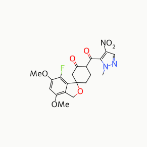 COc1cc(OC)c2c(c1F)C1(CCC(C(=O)c3c([N+](=O)[O-])cnn3C)C(=O)C1)OC2